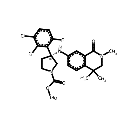 CN1CC(C)(C)c2ccc(N[C@@]3(c4c(F)ccc(Cl)c4Cl)CCN(C(=O)OC(C)(C)C)C3)cc2C1=O